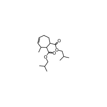 CC(C)COC(=O)C1CCC=CC(C)C1C(=O)OCC(C)C